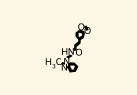 Cc1nc2ccccc2n1CCNC(=O)C=Cc1ccc2c(c1)OCO2